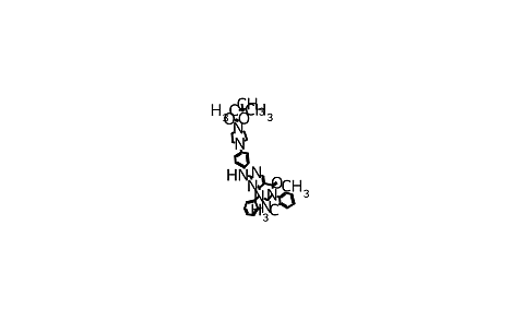 Cc1cccc(C)c1-n1c(=O)c2cnc(Nc3ccc(N4CCN(C(=O)OC(C)(C)C)CC4)cc3)nc2n2c3ccccc3nc12